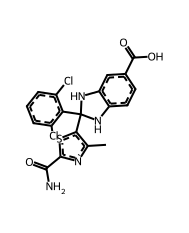 Cc1nc(C(N)=O)sc1C1(c2c(Cl)cccc2Cl)Nc2ccc(C(=O)O)cc2N1